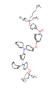 CCCCCC(C)(CC)Oc1ccc(C(=O)c2ccc(Oc3ccc(N(c4ccccc4)c4ccc(N(c5ccccc5)c5ccc(OC(C)(CC)CC)cc5)cc4)cc3)cc2)cc1